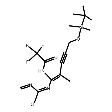 C=N/C(Cl)=N\C(NC(=O)C(F)(F)F)=C(/C)C#CCO[Si](C)(C)C(C)(C)C